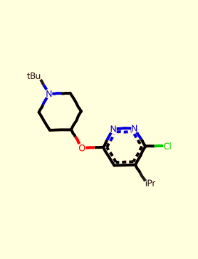 CC(C)c1cc(OC2CCN(C(C)(C)C)CC2)nnc1Cl